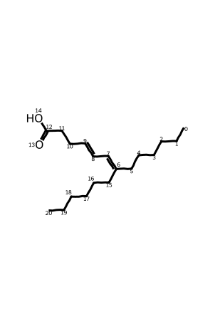 CCCCCCC(=CC=CCCC(=O)O)CCCCCC